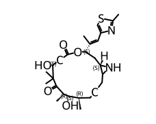 CC(=Cc1csc(C)n1)[C@@H]1C[C@@H]2NC2CCC[C@@H](C)[C@H](O)[C@@H](C)C(=O)C(C)(C)[C@@H](O)CC(=O)O1